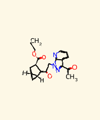 C=CCOC(=O)[C@@H]1C[C@H]2C[C@H]2C1C(=O)Cn1nc(C(C)=O)c2cccnc21